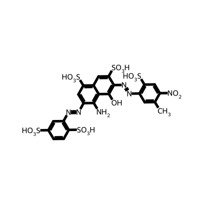 Cc1cc(N=Nc2c(S(=O)(=O)O)cc3c(S(=O)(=O)O)cc(N=Nc4cc(S(=O)(=O)O)ccc4S(=O)(=O)O)c(N)c3c2O)c(S(=O)(=O)O)cc1[N+](=O)[O-]